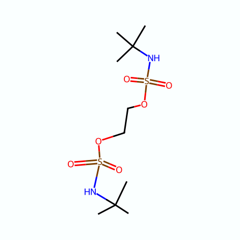 CC(C)(C)NS(=O)(=O)OCCOS(=O)(=O)NC(C)(C)C